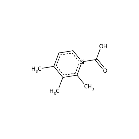 Cc1cc[si](C(=O)O)c(C)c1C